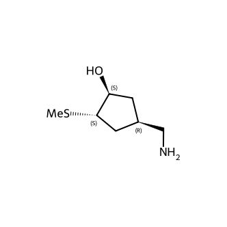 CS[C@H]1C[C@H](CN)C[C@@H]1O